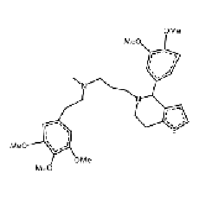 COc1ccc(C2c3ccsc3CCN2CCCN(C)CCc2cc(OC)c(OC)c(OC)c2)cc1OC